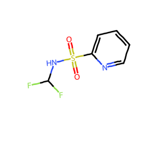 O=S(=O)(NC(F)F)c1ccccn1